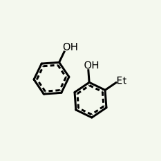 CCc1ccccc1O.Oc1ccccc1